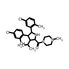 Cc1ccc(Cl)cc1C1NC(C(=O)N2CCN(C)CC2)C(C(C)C)C1c1ccc(Cl)cc1C